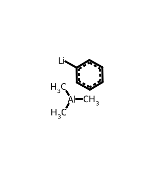 [CH3][Al]([CH3])[CH3].[Li][c]1ccccc1